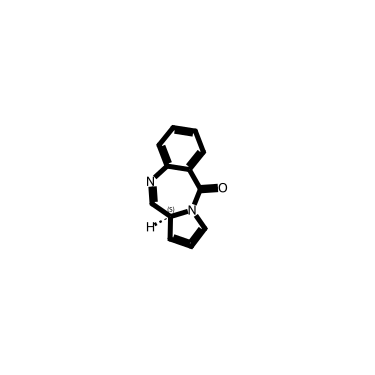 O=C1c2ccccc2N=C[C@@H]2C=C=CN12